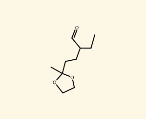 CCC(C=O)CCC1(C)OCCO1